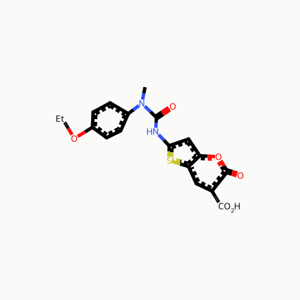 CCOc1ccc(N(C)C(=O)Nc2cc3oc(=O)c(C(=O)O)cc3s2)cc1